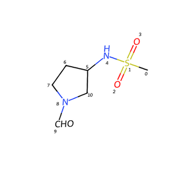 CS(=O)(=O)NC1CCN(C=O)C1